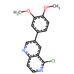 COc1ccc(-c2cnc3ccnc(Cl)c3c2)cc1OC